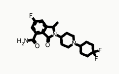 CC1c2cc(F)cc(C(N)=O)c2C(=O)N1C1CCN(C2CCC(F)(F)CC2)CC1